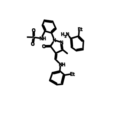 CCc1ccccc1N.CCc1ccccc1NC=C1C(=O)N(c2ccccc2NS(C)(=O)=O)N=C1C